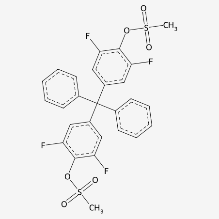 CS(=O)(=O)Oc1c(F)cc(C(c2ccccc2)(c2ccccc2)c2cc(F)c(OS(C)(=O)=O)c(F)c2)cc1F